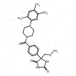 COCC1(c2ccc(C(=O)N3CCN(c4nc(C)c(C)cc4C)CC3)cc2)NC(=O)NC1=O